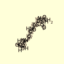 COc1cccc(Nc2c(C(N)=O)cnc3c(C)cc(Sc4cccc(C(=O)Nc5ccc(-c6ccc(CNC[C@H](O)c7ccc(O)c8[nH]c(=O)ccc78)cc6)cc5)c4)cc23)c1